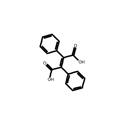 O=C(O)C(=C(C(=O)O)c1ccccc1)c1ccccc1